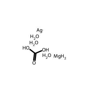 O.O.O.O=C(O)O.[Ag].[MgH2]